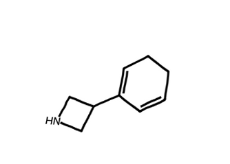 C1=CC(C2CNC2)=CCC1